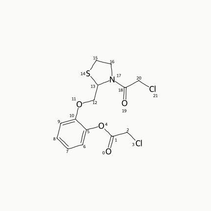 O=C(CCl)Oc1ccccc1OCC1SCCN1C(=O)CCl